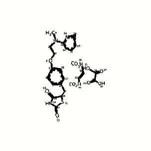 CN(CCOc1ccc(CC2SC(=O)NC2=O)cc1)c1ccccn1.O=C(O)C(=O)O.O=C(O)C=CC(=O)O